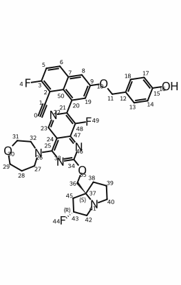 C#Cc1c(F)ccc2cc(OCc3ccc(O)cc3)cc(-c3ncc4c(N5CCCOCC5)nc(OC[C@@]56CCCN5C[C@H](F)C6)nc4c3F)c12